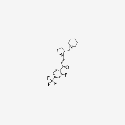 O=C(/C=C/N1CCC[C@H]1CN1CCCCC1)c1ccc(C(F)(F)F)cc1F